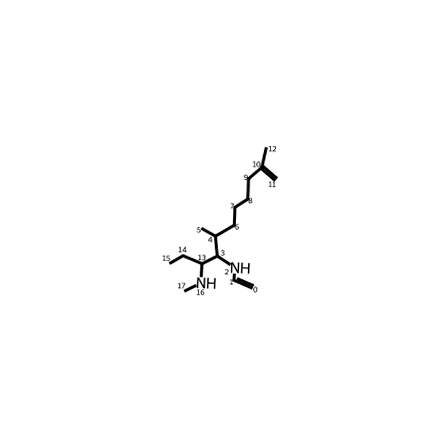 C=CNC(C(C)CCCCC(=C)C)C(CC)NC